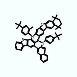 Cc1cc(C(C)(C)C)ccc1N1c2cc3oc4cc5c(cc4c3cc2B2c3c(cc4c(sc6ccccc64)c31)-c1cc3ccccc3cc1N2c1ccc(C(C)(C)C)cc1)C(C)(C)CCC5(C)C